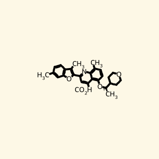 Cc1ccc2c(C)c(-c3cc(C(=O)O)c4c(O[C@H](C)C5CCOCC5)ccc(C)c4n3)oc2c1